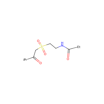 CCC(=O)NCCS(=O)(=O)CC(=O)C(C)C